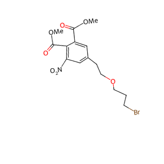 COC(=O)c1cc(CCOCCCBr)cc([N+](=O)[O-])c1C(=O)OC